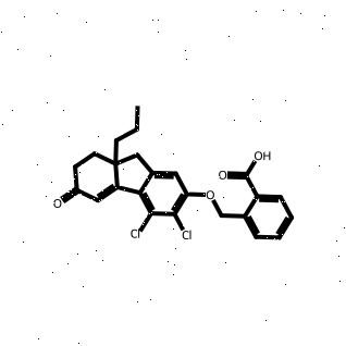 CCCC12CCC(=O)C=C1c1c(cc(OCc3ccccc3C(=O)O)c(Cl)c1Cl)C2